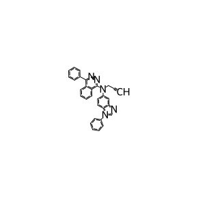 C#CCN(c1ccc2c(c1)ncn2-c1ccccc1)c1nnc(-c2ccccc2)c2ccccc12